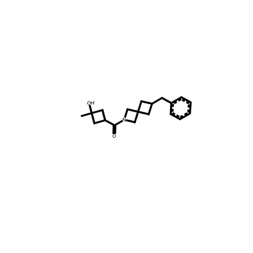 CC1(O)CC(C(=O)N2CC3(CC(Cc4ccccc4)C3)C2)C1